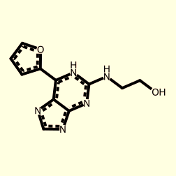 OCCNc1nc2ncnc-2c(-c2ccco2)[nH]1